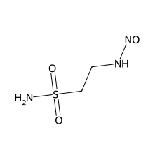 NS(=O)(=O)CCNN=O